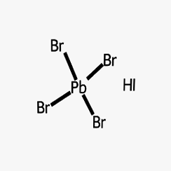 I.[Br][Pb]([Br])([Br])[Br]